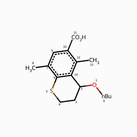 CCCCOC1CCSc2c(C)cc(C(=O)O)c(C)c21